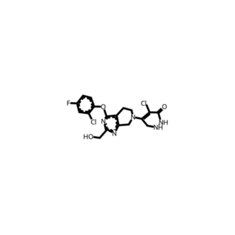 O=C1NNCC(N2CCc3c(nc(CO)nc3Oc3ccc(F)cc3Cl)C2)=C1Cl